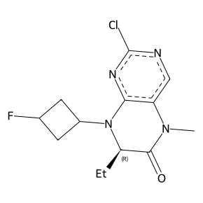 CC[C@@H]1C(=O)N(C)c2cnc(Cl)nc2N1C1CC(F)C1